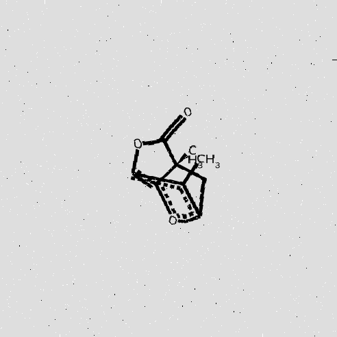 Cc1c2oc3c1OC(=O)[C@]3(C)C2